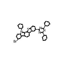 Brc1ccc2c(c1)c1ccc3c4cc(-c5nc(-c6ccccc6)nc(-c6ccccc6)n5)ccc4sc3c1n2-c1ccccc1